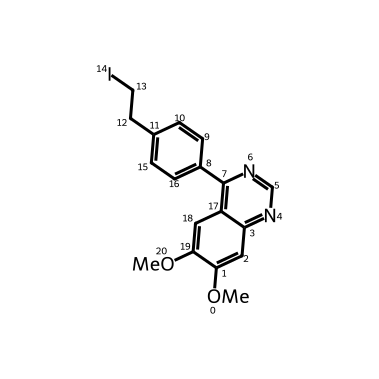 COc1cc2ncnc(-c3ccc(CCI)cc3)c2cc1OC